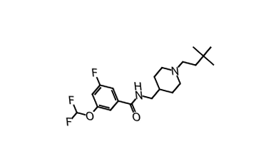 CC(C)(C)CCN1CCC(CNC(=O)c2cc(F)cc(OC(F)F)c2)CC1